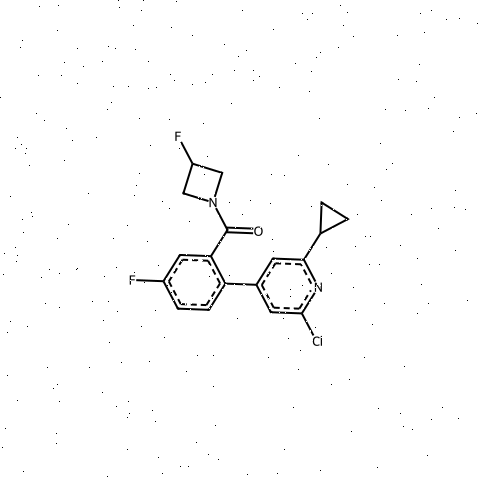 O=C(c1cc(F)ccc1-c1cc(Cl)nc(C2CC2)c1)N1CC(F)C1